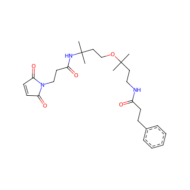 CC(C)(CCOC(C)(C)CCNC(=O)CCc1ccccc1)NC(=O)CCN1C(=O)C=CC1=O